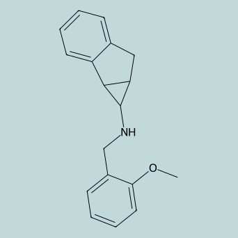 COc1ccccc1CNC1C2Cc3ccccc3C21